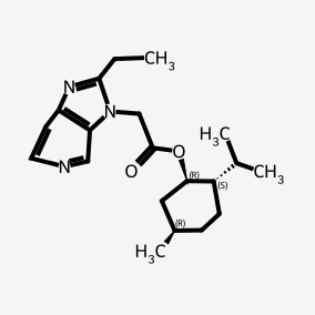 CCc1nc2ccncc2n1CC(=O)O[C@@H]1C[C@H](C)CC[C@H]1C(C)C